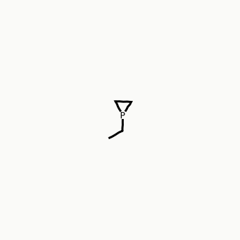 CCP1CC1